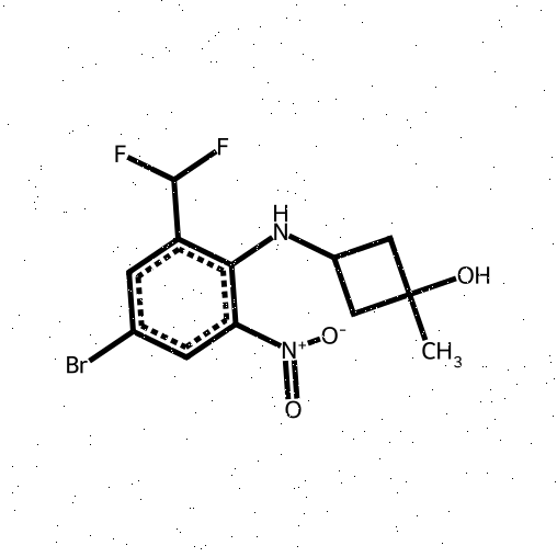 CC1(O)CC(Nc2c(C(F)F)cc(Br)cc2[N+](=O)[O-])C1